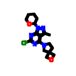 Cc1nn(C2CCCCO2)c2nc(Cl)nc(N3CCC4(COC4)C3)c12